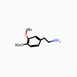 CCCCOc1cc(CCN)ccc1OC